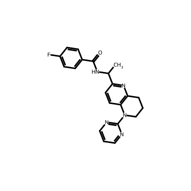 CC(NC(=O)c1ccc(F)cc1)c1ccc2c(n1)CCCN2c1ncccn1